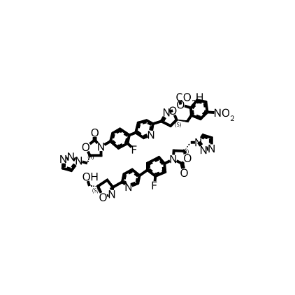 O=C(O)Oc1ccc([N+](=O)[O-])cc1C[C@H]1CC(c2ccc(-c3ccc(N4C[C@H](Cn5ccnn5)OC4=O)cc3F)cn2)=NO1.O=C1O[C@@H](Cn2ccnn2)CN1c1ccc(-c2ccc(C3=NO[C@H](CO)C3)nc2)c(F)c1